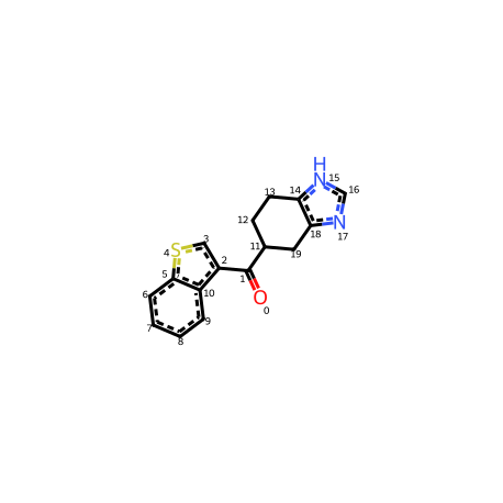 O=C(c1csc2ccccc12)C1CCc2[nH]cnc2C1